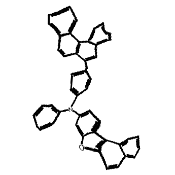 c1ccc(N(c2ccc(-c3cc4ccccc4c4c3ccc3ccccc34)cc2)c2ccc3c(c2)oc2ccc4ccccc4c23)cc1